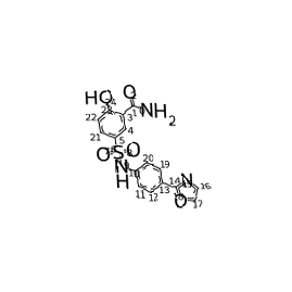 NC(=O)c1cc(S(=O)(=O)Nc2ccc(-c3ncco3)cc2)ccc1O